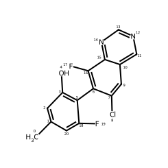 Cc1cc(O)c(-c2c(Cl)cc3cncnc3c2F)c(F)c1